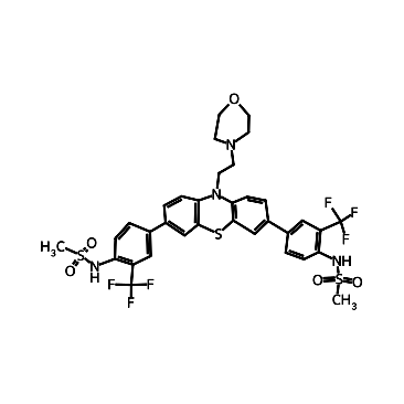 CS(=O)(=O)Nc1ccc(-c2ccc3c(c2)Sc2cc(-c4ccc(NS(C)(=O)=O)c(C(F)(F)F)c4)ccc2N3CCN2CCOCC2)cc1C(F)(F)F